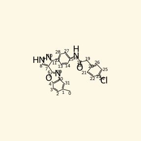 Cc1ccc2oc(-c3c[nH]nc3-c3ccc(NC(=O)Cc4ccc(Cl)cc4)cc3)nc2c1